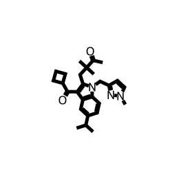 CC(=O)C(C)(C)Cc1c(C(=O)C2CCC2)c2cc(C(C)C)ccc2n1Cc1ccn(C)n1